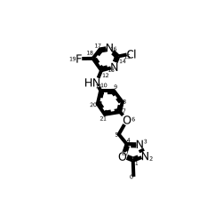 Cc1nnc(COc2ccc(Nc3nc(Cl)ncc3F)cc2)o1